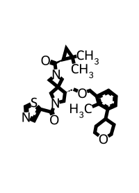 Cc1c(COC[C@@H]2CN(C(=O)c3cncs3)CC23CN(C(=O)[C@H]2CC2(C)C)C3)cccc1C1CCOCC1